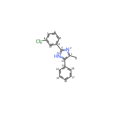 Cc1nc(-c2cccc(Cl)c2)[nH]c1-c1ccccc1